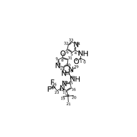 CC(=O)Nc1cc(Oc2cnc3nc(Nc4cc(C(C)(C)C)n(CC(F)F)n4)n(C)c3c2)ccn1